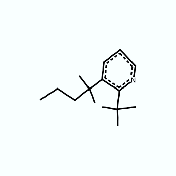 CCCC(C)(C)c1cccnc1C(C)(C)C